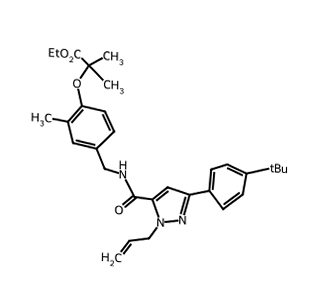 C=CCn1nc(-c2ccc(C(C)(C)C)cc2)cc1C(=O)NCc1ccc(OC(C)(C)C(=O)OCC)c(C)c1